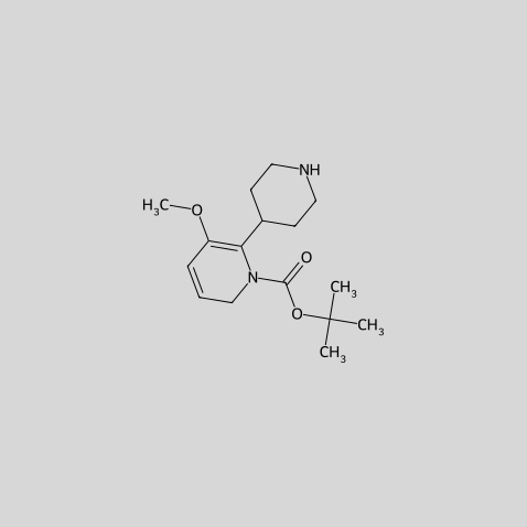 COC1=C(C2CCNCC2)N(C(=O)OC(C)(C)C)CC=C1